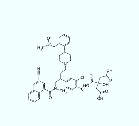 CN(CC(CCN1CCC(c2ccccc2C[S+](C)[O-])CC1)c1ccc(Cl)c(Cl)c1)C(=O)c1cc(C#N)cc2ccccc12.O=C(O)CC(O)(CC(=O)O)C(=O)O